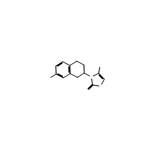 Fc1ccc2c(c1)CC(n1c(F)c[nH]c1=S)CC2